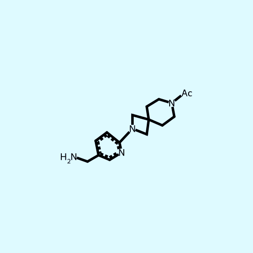 CC(=O)N1CCC2(CC1)CN(c1ccc(CN)cn1)C2